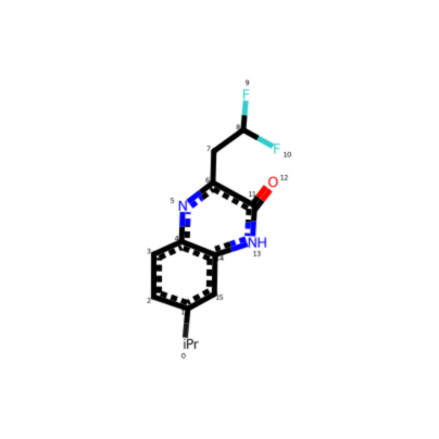 CC(C)c1ccc2nc(CC(F)F)c(=O)[nH]c2c1